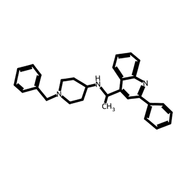 CC(NC1CCN(Cc2ccccc2)CC1)c1cc(-c2ccccc2)nc2ccccc12